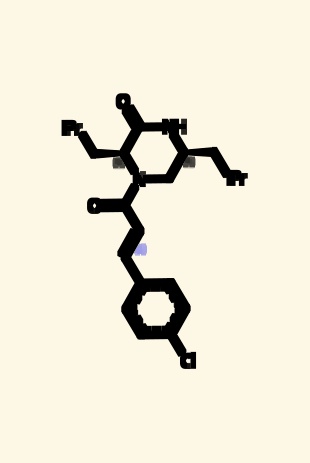 CC(C)C[C@H]1CN(C(=O)/C=C/c2ccc(Cl)cc2)[C@@H](CC(C)C)C(=O)N1